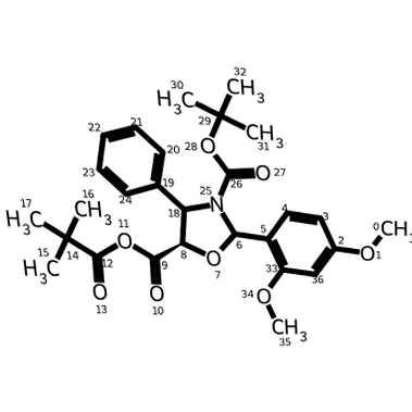 COc1ccc(C2O[C@@H](C(=O)OC(=O)C(C)(C)C)C(c3ccccc3)N2C(=O)OC(C)(C)C)c(OC)c1